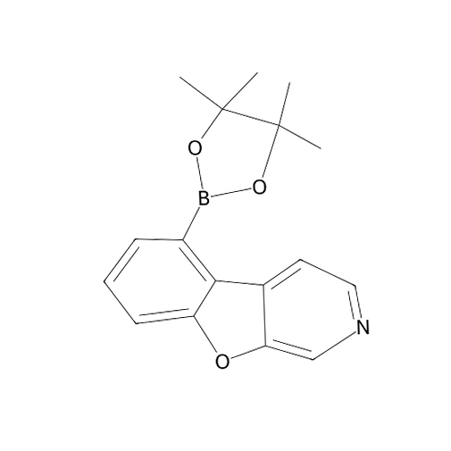 CC1(C)OB(c2cccc3oc4cnccc4c23)OC1(C)C